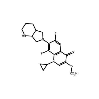 O=C(O)Oc1cn(C2CC2)c2c(F)c(N3CC4CCCNC4C3)c(F)cc2c1=O